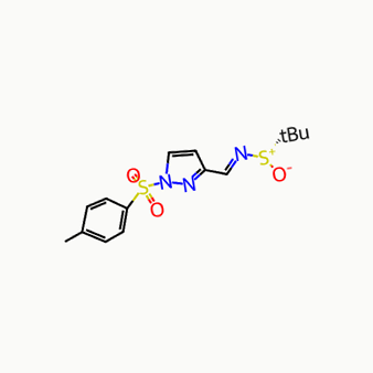 Cc1ccc(S(=O)(=O)n2ccc(/C=N/[S@@+]([O-])C(C)(C)C)n2)cc1